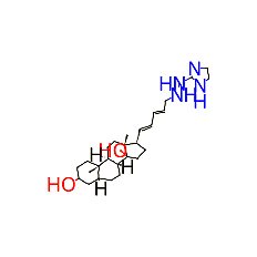 C[C@]12CC[C@H](O)C[C@H]1CC[C@@H]1[C@@H]2CC[C@]2(C)[C@@H](/C=C/C=C/CNNC3=NCCN3)CC[C@]12O